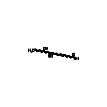 CCCCCC(O)C=CC(O)CCC=CCC=CCCCC(=O)O